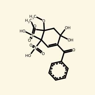 COC1(OC)CC(O)(O)C(C(=O)c2ccccc2)=CC1(S(=O)(=O)O)S(=O)(=O)O